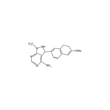 COC1=Cc2ccc(C3NN(C)c4ncnc(N)c43)cc2CC1